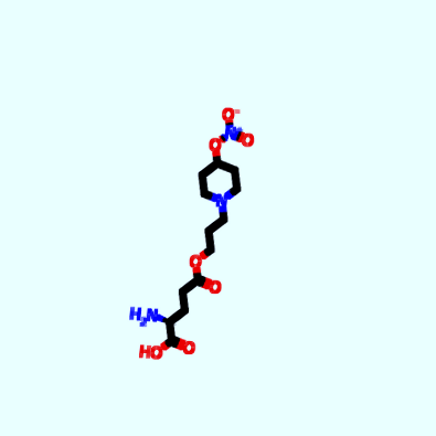 N[C@@H](CCC(=O)OCCCN1CCC(O[N+](=O)[O-])CC1)C(=O)O